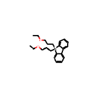 CCOCCC[Si]1(CCCOCC)c2ccccc2-c2ccccc21